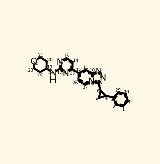 c1ccc(C2CC2c2nnc3cc(-c4ccnc(NC5CCOCC5)n4)ccn23)cc1